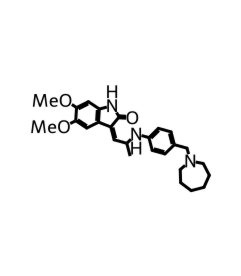 COc1cc2c(cc1OC)C(=CC(C)Nc1ccc(CN3CCCCCC3)cc1)C(=O)N2